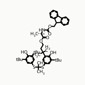 C[C@H](NC(=O)OCC1c2ccccc2-c2ccccc21)C(=O)OCCC(C)(C)c1cc(SC(C)(C)Sc2cc(C(C)(C)C)c(O)c(C(C)(C)C)c2)cc(C(C)(C)C)c1O